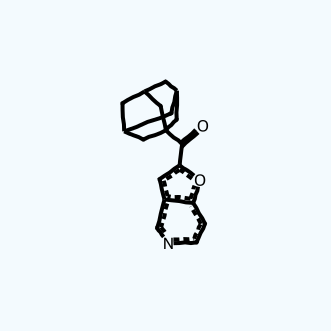 O=C(c1cc2cnccc2o1)C12CC3CC(CC(C3)C1)C2